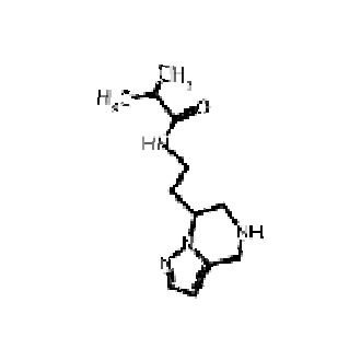 CC(C)C(=O)NCCC1CNCc2ccnn21